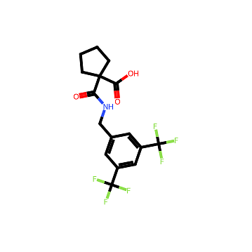 O=C(O)C1(C(=O)NCc2cc(C(F)(F)F)cc(C(F)(F)F)c2)CCCC1